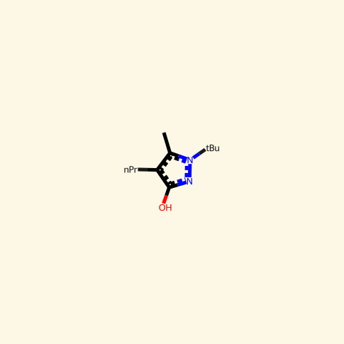 CCCc1c(O)nn(C(C)(C)C)c1C